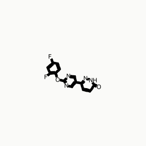 O=c1ccc(-c2cnc(Oc3ccc(F)cc3F)nc2)n[nH]1